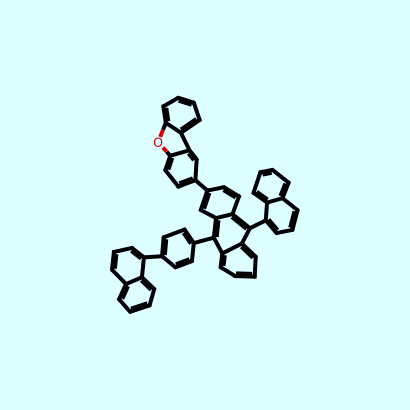 c1ccc2c(-c3ccc(-c4c5ccccc5c(-c5cccc6ccccc56)c5ccc(-c6ccc7oc8ccccc8c7c6)cc45)cc3)cccc2c1